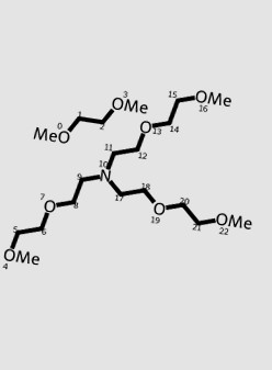 COCCOC.COCCOCCN(CCOCCOC)CCOCCOC